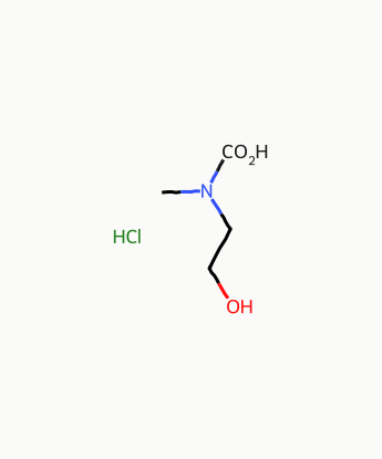 CN(CCO)C(=O)O.Cl